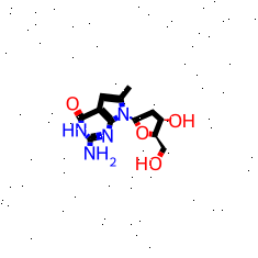 Cc1cc2c(=O)[nH]c(N)nc2n1[C@@H]1C[C@H](O)[C@@H](CO)O1